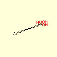 CC(=O)CCCCCCCCCCCCCCC(O)(O)O